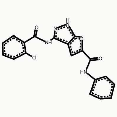 O=C(Nc1ccccc1)c1cc2c(NC(=O)c3ccccc3Cl)n[nH]c2s1